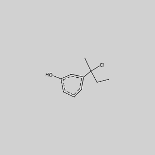 CCC(C)(Cl)c1cccc(O)c1